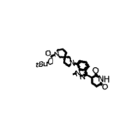 Cn1nc(C2CCC(=O)NC2=O)c2cccc(N3CCC4(CCCN(C(=O)OC(C)(C)C)C4)C3)c21